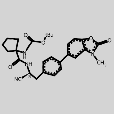 Cn1c(=O)oc2ccc(-c3ccc(C[C@@H](C#N)NC(=O)C4(NC(=O)OC(C)(C)C)CCCC4)cc3)cc21